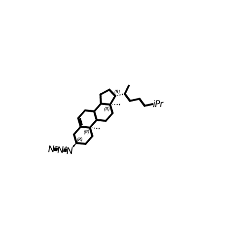 CC(C)CCCC(C)[C@H]1CCC2C3CC=C4C[C@H](N=[N+]=[N-])CC[C@]4(C)C3CC[C@@]21C